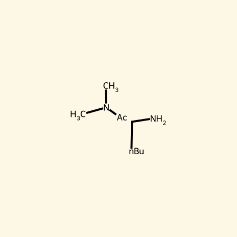 CC(=O)N(C)C.CCCCCN